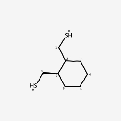 SCC1CCCC[C@H]1CS